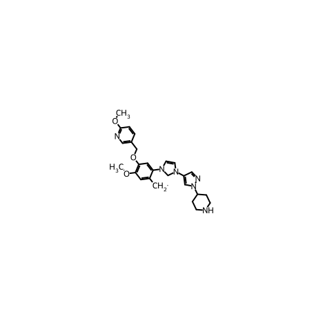 [CH2]c1cc(OC)c(OCc2ccc(OC)nc2)cc1N1C=CN(c2cnn(C3CCNCC3)c2)C1